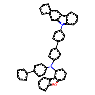 c1ccc(-c2ccc(N(c3ccc(-c4ccc(-n5c6ccccc6c6cc7ccccc7cc65)cc4)cc3)c3cccc4oc5ccccc5c34)cc2)cc1